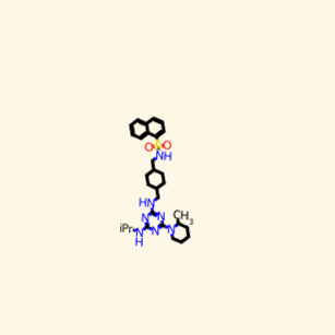 CC(C)Nc1nc(NCC2CCC(CNS(=O)(=O)c3cccc4ccccc34)CC2)nc(N2CCCCC2C)n1